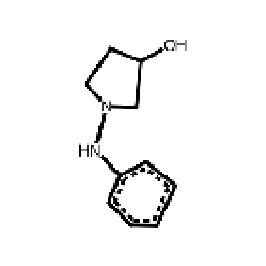 OC1CCN(Nc2ccccc2)C1